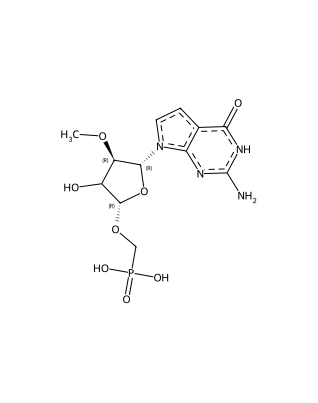 CO[C@@H]1C(O)[C@@H](OCP(=O)(O)O)O[C@H]1n1ccc2c(=O)[nH]c(N)nc21